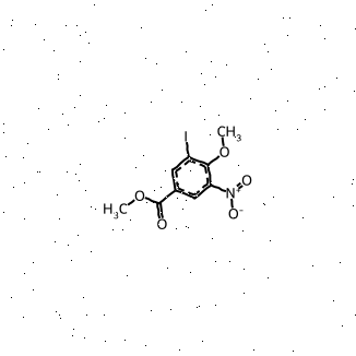 COC(=O)c1cc(I)c(OC)c([N+](=O)[O-])c1